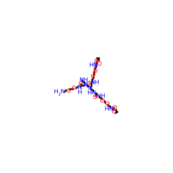 CC(C)(C)OC(=O)NCCOCCOCCNC(=O)CNCCN(CCN(CCN)CC(=O)NCCOCCOCCN)CC(=O)NCCOCCOCCNC(=O)OC(C)(C)C